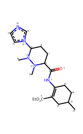 CCOC(=O)C1=C(NC(=O)C2CCC(n3ccnc3)N(C)N2C)CCC(C)C1